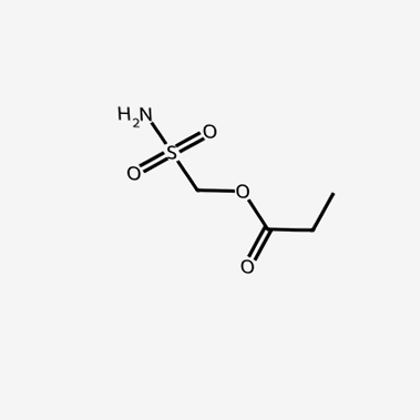 CCC(=O)OCS(N)(=O)=O